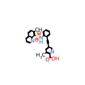 Cc1cc(C#Cc2ccccc2NS(=O)(=O)c2c(C)ccc3cccnc23)cnc1C(=O)O